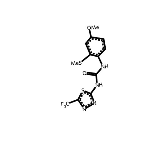 COc1ccc(NC(=O)Nc2nnc(C(F)(F)F)s2)c(SC)c1